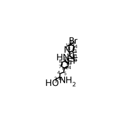 NC(CO)CCc1ccc(NC(c2ccc(Br)cn2)C(F)(F)F)cc1